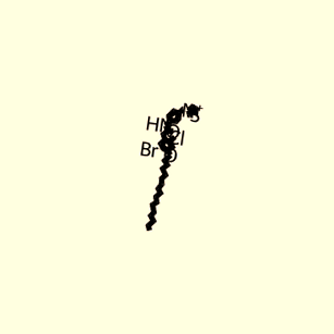 CCCCCCCCCCCCCCCCOc1ccc(CC(=O)Nc2ccc(C[n+]3ccsc3)cc2)c(Cl)c1.[Br-]